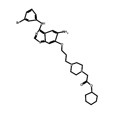 Nc1cc2c(Nc3cccc(Br)c3)ncnc2cc1OCCCN1CCN(CC(=O)OC2CCCCC2)CC1